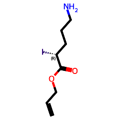 C=CCOC(=O)[C@H](I)CCCN